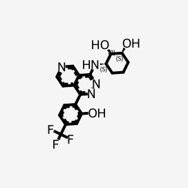 Oc1cc(C(F)(F)F)ccc1-c1nnc(N[C@H]2CCC[C@H](O)[C@@H]2O)c2cnccc12